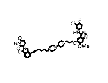 COc1cc2ncnc(Nc3ccc(F)c(Cl)c3)c2cc1OCCCN1CCC(N2CCN(CCCCC#Cc3cccc4c3CN(C3CCC(=O)NC3=O)C4=O)CC2)CC1